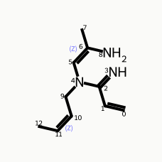 C=CC(=N)N(/C=C(/C)N)C/C=C\C